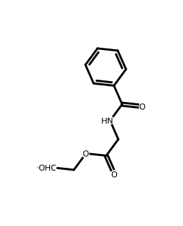 O=[C]COC(=O)CNC(=O)c1ccccc1